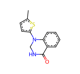 Cc1ccc(N2CNC(=O)c3ccccc32)s1